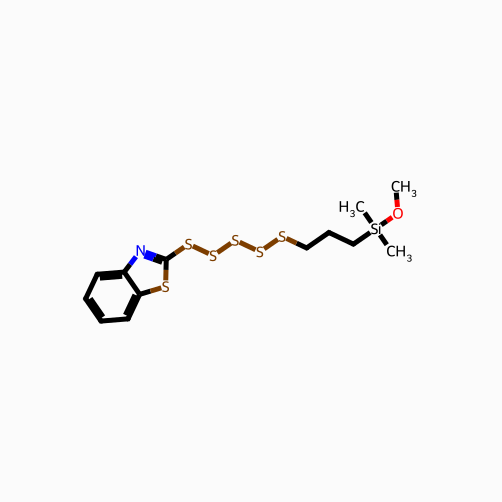 CO[Si](C)(C)CCCSSSSSc1nc2ccccc2s1